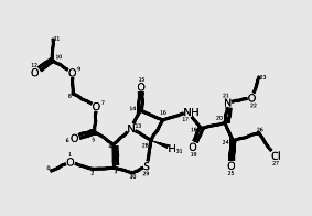 COCC1=C(C(=O)OCOC(C)=O)N2C(=O)C(NC(=O)C(=NOC)C(=O)CCl)[C@@H]2SC1